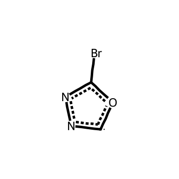 Brc1nn[c]o1